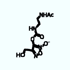 CC(=O)NCCNC(=O)Oc1c(CO)no[n+]1[O-]